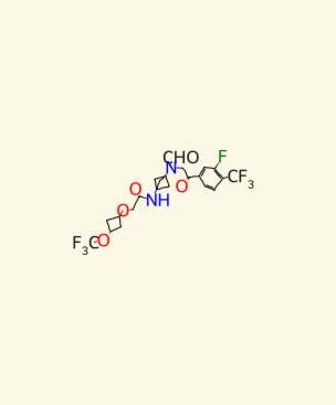 O=CN(CC(=O)c1ccc(C(F)(F)F)c(F)c1)C12CC(NC(=O)COC3CC(OC(F)(F)F)C3)(C1)C2